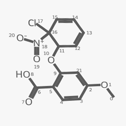 COc1ccc(C(=O)O)c(OC2C=CC=CC2(Cl)[N+](=O)[O-])c1